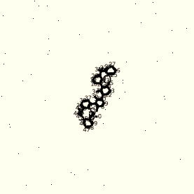 CB1Sc2c(-c3c(C)ccc(-c4ccc(C)c(-c5cccc6c5Oc5ccccc5C6(C)C)c4C)c3C)cccc2C(C)(C)Sc2ccccc21